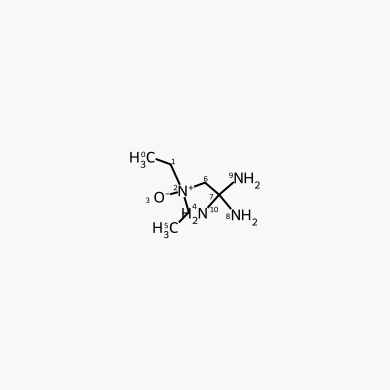 CC[N+]([O-])(CC)CC(N)(N)N